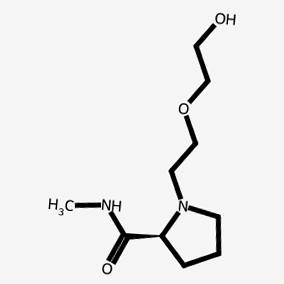 CNC(=O)[C@@H]1CCCN1CCOCCO